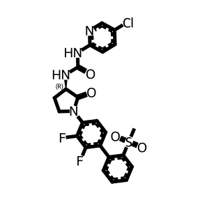 CS(=O)(=O)c1ccccc1-c1ccc(N2CC[C@@H](NC(=O)Nc3ccc(Cl)cn3)C2=O)c(F)c1F